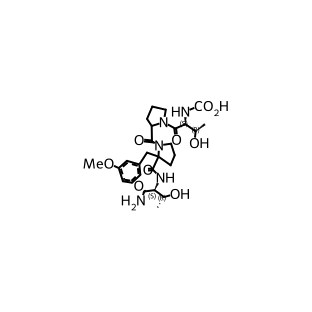 COc1cccc(CC2(C(=O)N[C@H](C(N)=O)[C@@H](C)O)CCCN2C(=O)C2CCCN2C(=O)[C@@H](NC(=O)O)[C@@H](C)O)c1